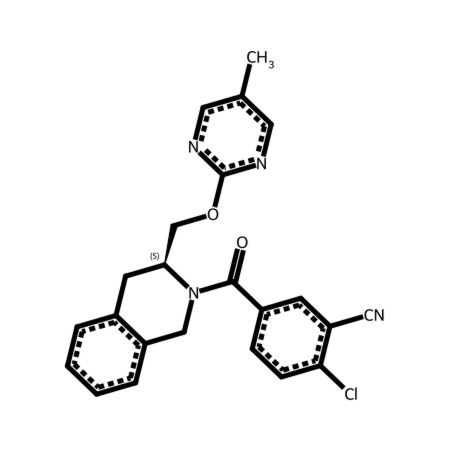 Cc1cnc(OC[C@@H]2Cc3ccccc3CN2C(=O)c2ccc(Cl)c(C#N)c2)nc1